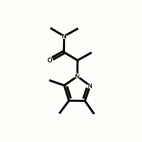 Cc1nn(C(C)C(=O)N(C)C)c(C)c1C